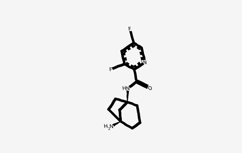 N[C@@]12CCC[C@@](NC(=O)c3ncc(F)cc3F)(CC1)C2